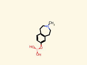 CN1CCc2ccc(OB(O)O)cc2CC1